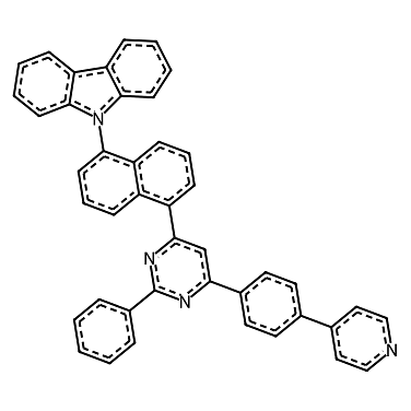 c1ccc(-c2nc(-c3ccc(-c4ccncc4)cc3)cc(-c3cccc4c(-n5c6ccccc6c6ccccc65)cccc34)n2)cc1